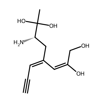 C#C/C=C(\C=C(\O)CO)C[C@H](N)C(C)(O)O